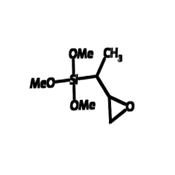 CO[Si](OC)(OC)C(C)C1CO1